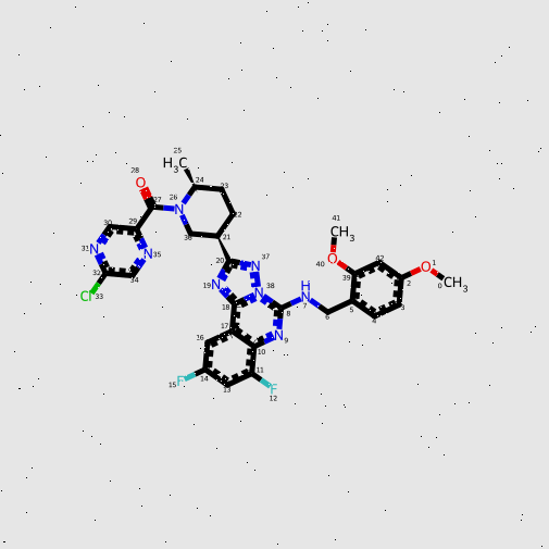 COc1ccc(CNc2nc3c(F)cc(F)cc3c3nc([C@@H]4CC[C@H](C)N(C(=O)c5cnc(Cl)cn5)C4)nn23)c(OC)c1